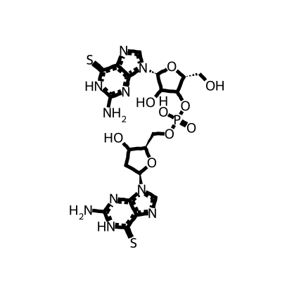 Nc1nc2c(ncn2[C@@H]2O[C@H](CO)C(OP(=O)(O)OC[C@H]3O[C@@H](n4cnc5c(=S)[nH]c(N)nc54)CC3O)C2O)c(=S)[nH]1